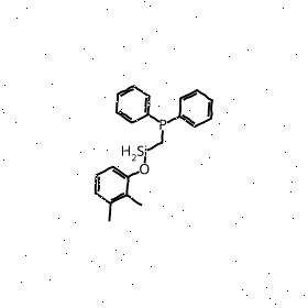 Cc1cccc(O[SiH2]CP(c2ccccc2)c2ccccc2)c1C